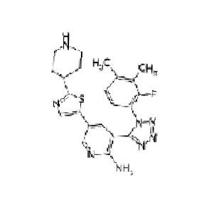 Cc1ccc(-n2nnnc2-c2cc(-c3cnc(C4CCNCC4)s3)cnc2N)c(F)c1C